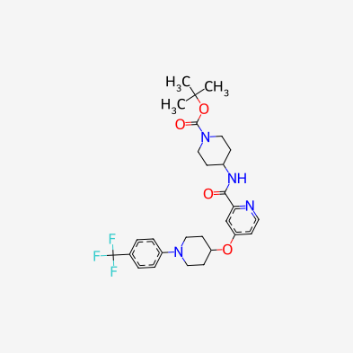 CC(C)(C)OC(=O)N1CCC(NC(=O)c2cc(OC3CCN(c4ccc(C(F)(F)F)cc4)CC3)ccn2)CC1